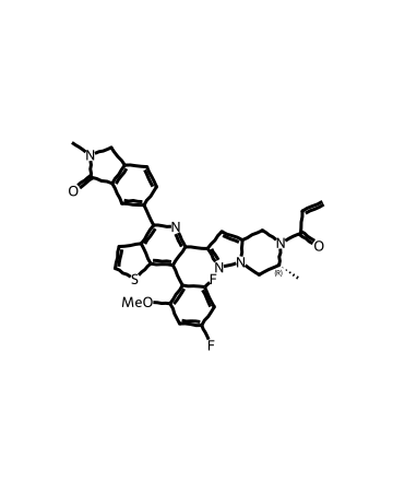 C=CC(=O)N1Cc2cc(-c3nc(-c4ccc5c(c4)C(=O)N(C)C5)c4ccsc4c3-c3c(F)cc(F)cc3OC)nn2C[C@H]1C